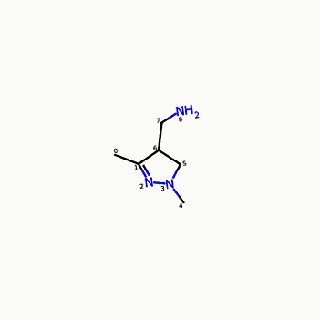 CC1=NN(C)CC1CN